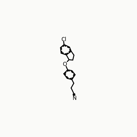 N#CCCc1ccc(OC2CCc3cc(Cl)ccc32)cc1